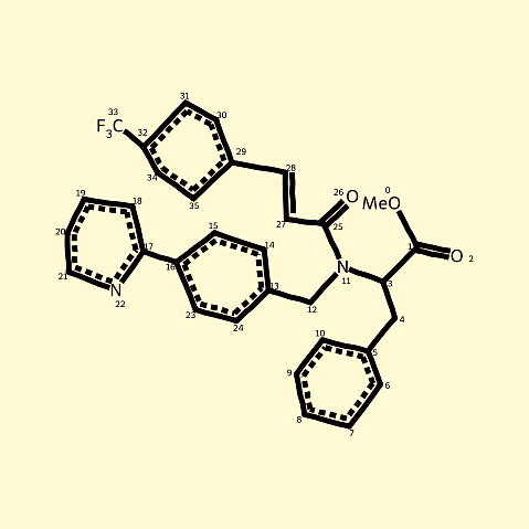 COC(=O)C(Cc1ccccc1)N(Cc1ccc(-c2ccccn2)cc1)C(=O)C=Cc1ccc(C(F)(F)F)cc1